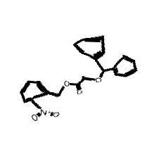 O=C(COC(c1ccccc1)c1ccccc1)OCc1ccccc1[N+](=O)[O-]